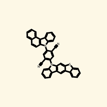 N#Cc1cc(-n2c3ccccc3c3c4ccccc4ccc32)c(C#N)cc1-n1c2ccccc2c2cc3c(cc21)sc1ccccc13